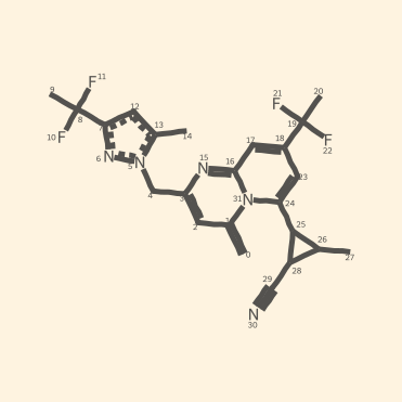 C=C1C=C(Cn2nc(C(C)(F)F)cc2C)N=C2C=C(C(C)(F)F)C=C(C3C(C)C3C#N)N12